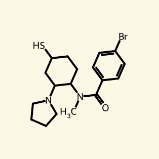 CN(C(=O)c1ccc(Br)cc1)C1CCC(S)CC1N1CCCC1